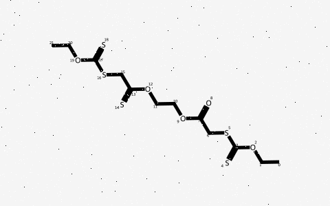 CCOC(=S)SCC(=O)OCCOC(=S)CSC(=S)OCC